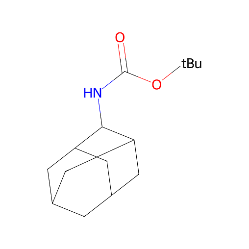 CC(C)(C)OC(=O)NC1C2CC3CC(C2)CC1C3